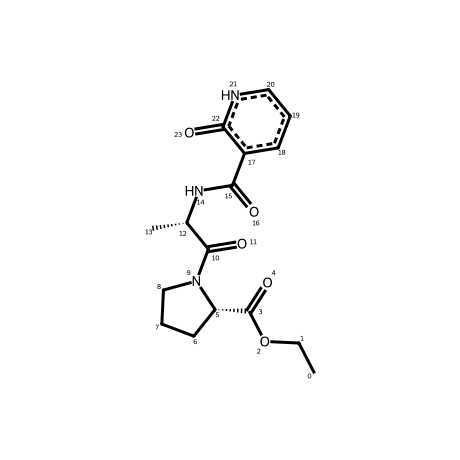 CCOC(=O)[C@@H]1CCCN1C(=O)[C@H](C)NC(=O)c1ccc[nH]c1=O